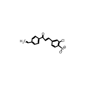 C=Cc1ccc(C(=O)C=Cc2ccc([N+](=O)[O-])c(Cl)c2)cc1